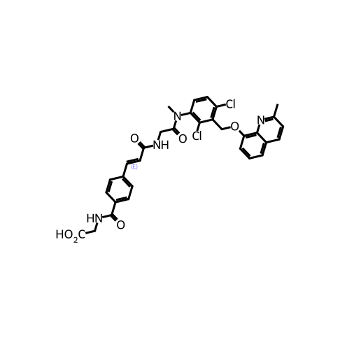 Cc1ccc2cccc(OCc3c(Cl)ccc(N(C)C(=O)CNC(=O)/C=C/c4ccc(C(=O)NCC(=O)O)cc4)c3Cl)c2n1